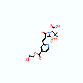 CC1(C)[C@H](C(=O)O)N2C(=O)/C(=C/c3cc(C(=O)OCCO)ccn3)C2S1(=O)=O